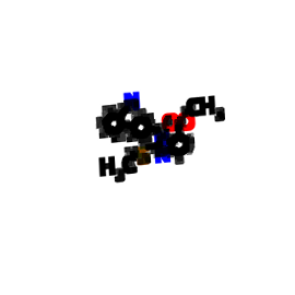 CCOC(=O)c1cccc2nc(CSCC)n(Cc3ccc(-c4ccccc4C#N)cc3)c12